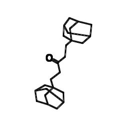 O=C(CCC12CC3CC(CC(C3)C1)C2)CCC12CC3CC(CC(C3)C1)C2